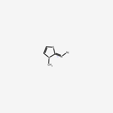 CC(=O)/N=c1\sccn1C